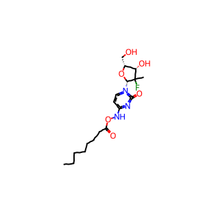 CCCCCCCC(=O)ONc1ccn([C@@H]2O[C@H](CO)[C@H](O)C2(C)F)c(=O)n1